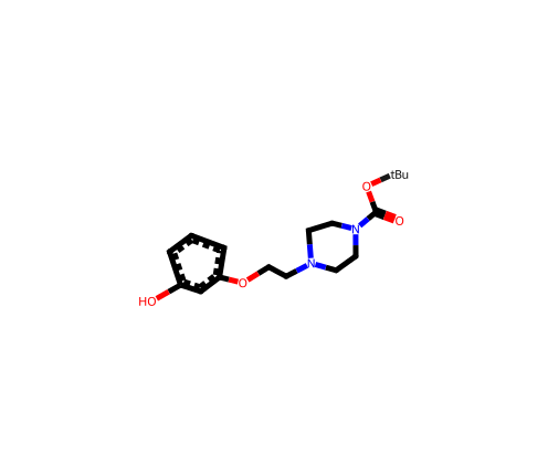 CC(C)(C)OC(=O)N1CCN(CCOc2cccc(O)c2)CC1